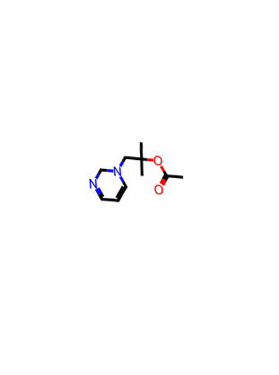 CC(=O)OC(C)(C)CN1C=CC=NC1